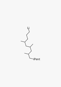 [Li][CH2]CCC(C)CC(C)CC(C)CC(C)CCC